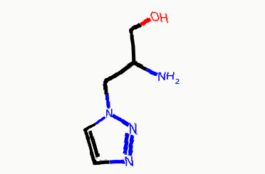 NC(CO)Cn1ccnn1